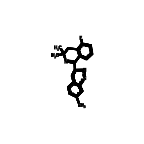 Cc1ccc2cc(C3=NC(C)(C)Cc4c(F)cccc43)nnc2c1